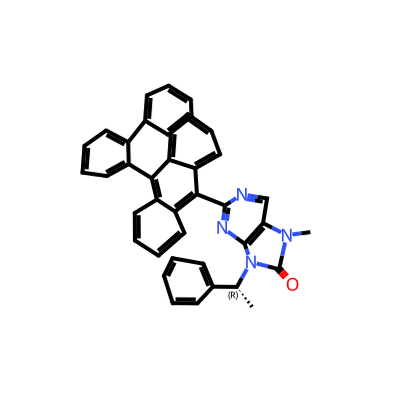 C[C@H](c1ccccc1)n1c(=O)n(C)c2cnc(-c3c4ccccc4c(-c4ccccc4-c4ccccc4)c4ccccc34)nc21